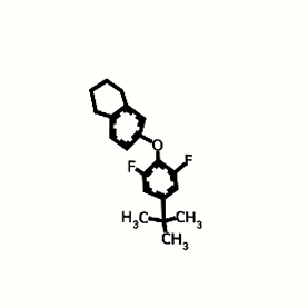 CC(C)(C)c1cc(F)c(Oc2ccc3c(c2)CCCC3)c(F)c1